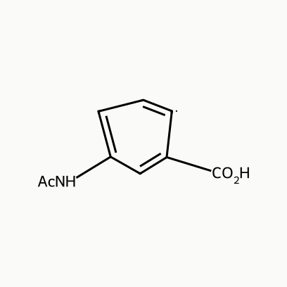 CC(=O)Nc1cc[c]c(C(=O)O)c1